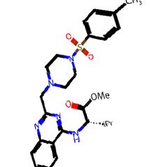 COC(=O)[C@@H](Nc1nc(CN2CCN(S(=O)(=O)c3ccc(C)cc3)CC2)nc2ccccc12)C(C)C